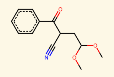 COC(CC(C#N)C(=O)c1ccccc1)OC